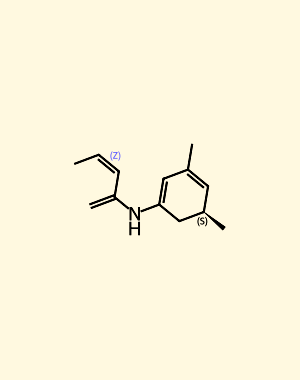 C=C(/C=C\C)NC1=CC(C)=C[C@@H](C)C1